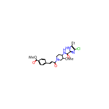 CCc1[nH]c(C(=O)NC2CCN(C(=O)C=Cc3ccc(C(=O)OC)cc3)CC2OC)nc1Cl